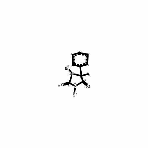 CC1(c2ccccc2)C(=O)N(Br)C(=O)N1Br